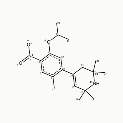 Cc1cc([N+](=O)[O-])c(OC(C)C)cc1C1=CC(C)(C)NC(C)(C)C1